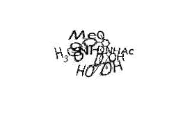 COc1cccc(O[C@@H]2OC(CO)[C@H](O)[C@H](O)[C@@H]2NC(C)=O)c1-c1cccc(NS(C)(=O)=O)c1